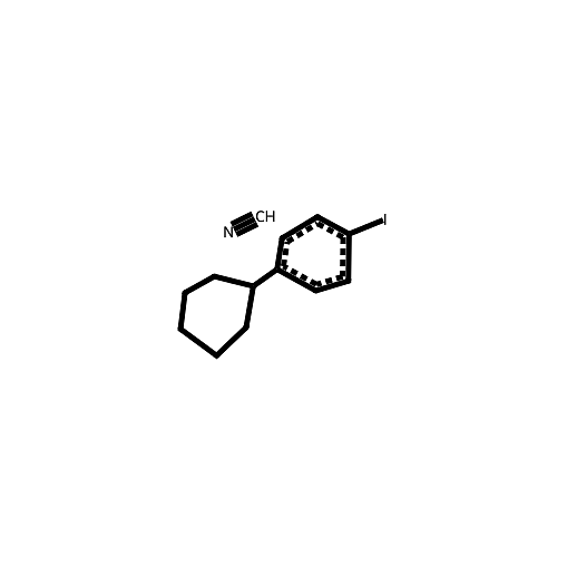 C#N.Ic1ccc(C2CCCCC2)cc1